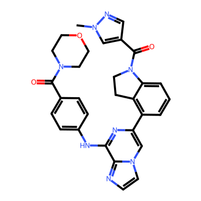 Cn1cc(C(=O)N2CCc3c(-c4cn5ccnc5c(Nc5ccc(C(=O)N6CCOCC6)cc5)n4)cccc32)cn1